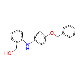 OCc1ccccc1Nc1ccc(OCc2ccccc2)cc1